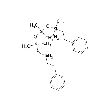 C[Si](C)(CCc1ccccc1)O[Si](C)(C)O[Si](C)(C)O[SiH2]CCc1ccccc1